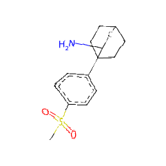 CS(=O)(=O)c1ccc(C23CCC(CC2)CC3N)cc1